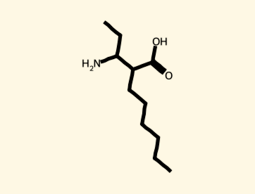 CCCCCCC(C(=O)O)C(N)CC